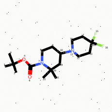 CC(C)(C)OC(=O)N1CCC(N2CCC(F)(F)CC2)CC1(C)C